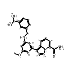 COc1cc(NCc2cccc(B(O)O)c2)nc(-c2nnn3c(C(N)=O)cccc23)n1